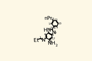 CC/C=N/c1cc2[nH]c(-c3cccc(CCC)c3)nc2cc1N